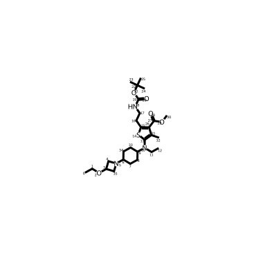 CCOC1CN(C2CCC(N(CC)c3sc(CCNC(=O)OC(C)(C)C)c(C(=O)OC)c3C)CC2)C1